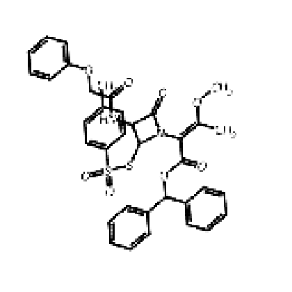 CO/C(C)=C(/C(=O)OC(c1ccccc1)c1ccccc1)N1C(=O)C(NC(=O)COc2ccccc2)C1SS(=O)(=O)c1ccc(C)cc1